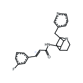 O=C(/C=C/c1cccc(F)c1)NC1C2CCN(CC2)C1Cc1cccnc1